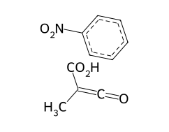 CC(=C=O)C(=O)O.O=[N+]([O-])c1ccccc1